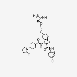 N=C(N)NOCCOc1ccc2oc(C(=O)Nc3ccc(Cl)cn3)c(NC(=O)[C@H]3CC[C@H](N4CCCC4=O)CC3)c2c1